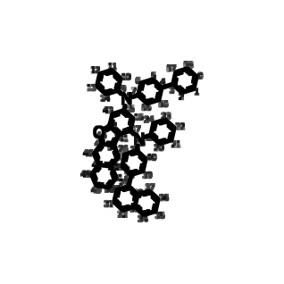 c1ccc(-c2ccc(N(c3ccccc3)c3cc(N(c4ccccc4)c4ccc(-c5cccc6ccccc56)cc4)c4c(c3)oc3cc5ccccc5cc34)cc2)cc1